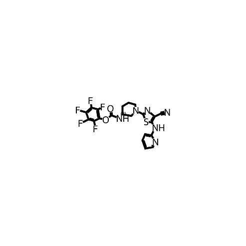 N#Cc1nc(N2CCC[C@@H](NC(=O)Oc3c(F)c(F)c(F)c(F)c3F)C2)sc1Nc1ccccn1